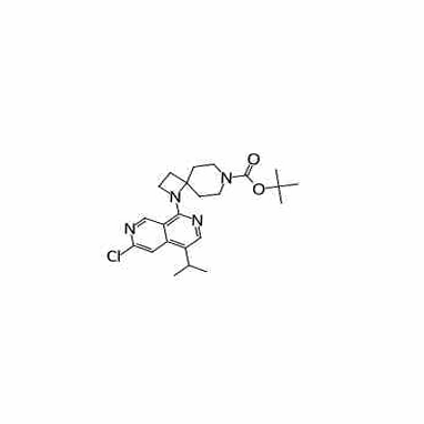 CC(C)c1cnc(N2CCC23CCN(C(=O)OC(C)(C)C)CC3)c2cnc(Cl)cc12